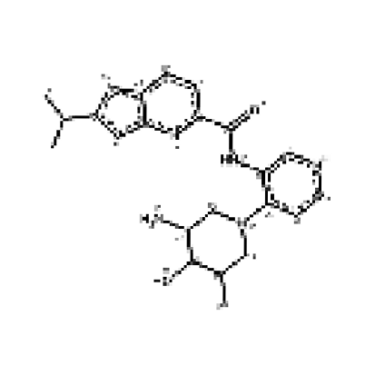 CC(C)c1cc2nc(C(=O)Nc3cnccc3N3CC(C)C(O)C(N)C3)ccc2s1